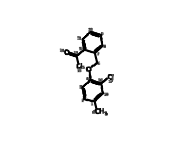 Cc1ccc(OCc2ccccc2C(=O)Cl)c(Cl)c1